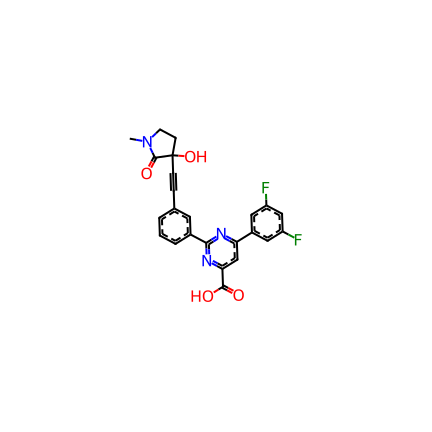 CN1CCC(O)(C#Cc2cccc(-c3nc(C(=O)O)cc(-c4cc(F)cc(F)c4)n3)c2)C1=O